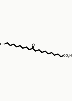 O=C(O)CCCCCCCCCC(=O)CCCCCCCCO